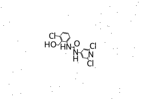 O=C(Nc1cc(Cl)nc(Cl)c1)Nc1cccc(Cl)c1CO